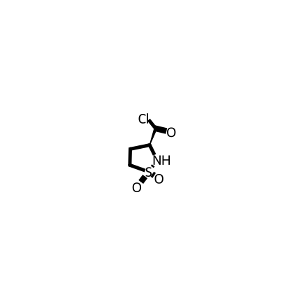 O=C(Cl)[C@@H]1CCS(=O)(=O)N1